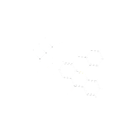 Cc1ccccc1-[s+]1c2ccccc2c(=O)c2ccccc21.O=S(=O)([O-])C(F)(F)C(F)(F)C(F)(F)C(F)(F)F